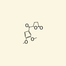 COc1ccc(C(=O)C2CCC(=O)O2)cc1OC